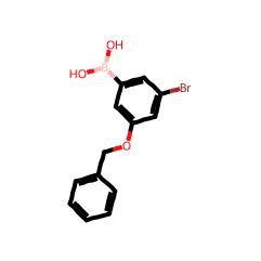 OB(O)c1cc(Br)cc(OCc2ccccc2)c1